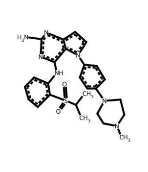 CC(C)S(=O)(=O)c1ccccc1Nc1nc(N)nc2ccn(-c3ccc(N4CCN(C)CC4)cc3)c12